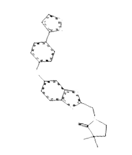 CC1(C)CCN(Cc2nc3cc(Oc4ccc(-c5ccn[nH]5)cc4)ccc3[nH]2)C1=O